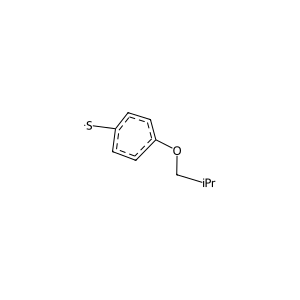 CC(C)COc1ccc([S])cc1